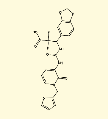 O=C(Nc1cccn(Cc2cccs2)c1=O)NC(c1ccc2c(c1)OCO2)C(F)(F)C(=O)O